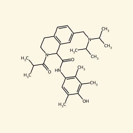 Cc1cc(NC(=O)C2c3cc(CN(C(C)C)C(C)C)ccc3CCN2C(=O)C(C)C)c(C)c(C)c1O